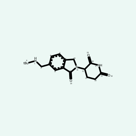 CC(C)(C)NCc1ccc2c(c1)C(=O)N(C1CCC(=O)NC1=O)C2